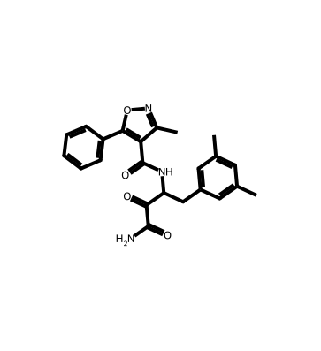 Cc1cc(C)cc(CC(NC(=O)c2c(C)noc2-c2ccccc2)C(=O)C(N)=O)c1